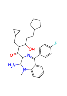 CN1c2ccccc2C(c2ccc(F)cc2)=NC(C(=O)C(CC2CC2)C(O)CCC2CCCC2)C1N